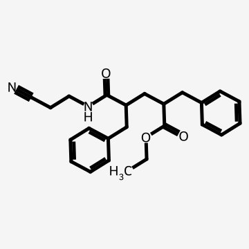 CCOC(=O)C(Cc1ccccc1)CC(Cc1ccccc1)C(=O)NCCC#N